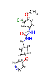 COc1ccc(NC(=O)NCc2ccc(Oc3ccncc3)cc2)cc1Cl